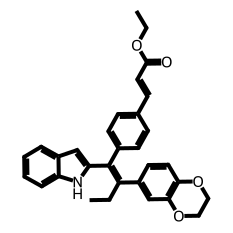 CCOC(=O)/C=C/c1ccc(/C(=C(/CC)c2ccc3c(c2)OCCO3)c2cc3ccccc3[nH]2)cc1